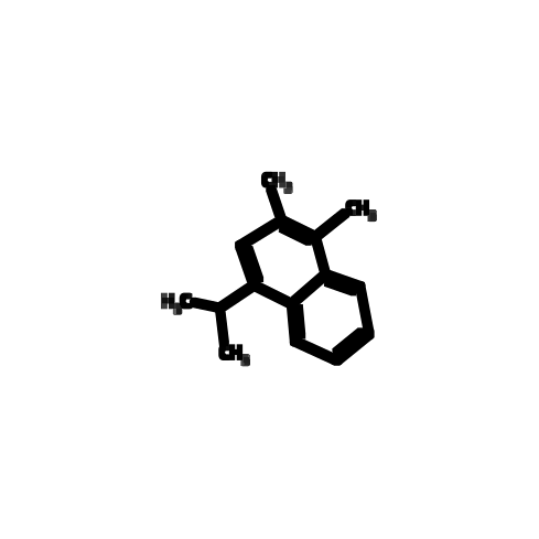 Cc1cc(C(C)C)c2ccccc2c1C